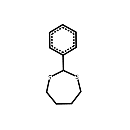 c1ccc(C2SCCCCS2)cc1